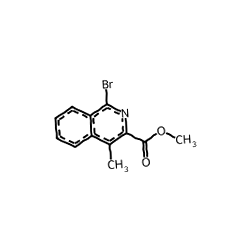 COC(=O)c1nc(Br)c2ccccc2c1C